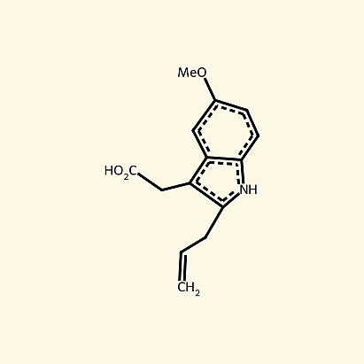 C=CCc1[nH]c2ccc(OC)cc2c1CC(=O)O